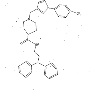 O=C(NCCC(c1ccccc1)c1ccccc1)C1CCN(Cc2ccn(-c3ccc(C(F)(F)F)cc3)c2)CC1